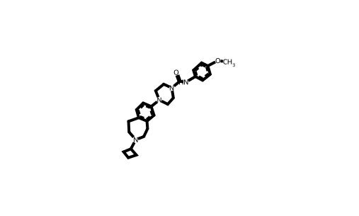 COc1ccc(NC(=O)N2CCN(c3ccc4c(c3)CCN(C3CCC3)CC4)CC2)cc1